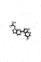 O=C(O)CN1CCc2cnc(-c3c[nH]c4ncc(F)cc34)nc21